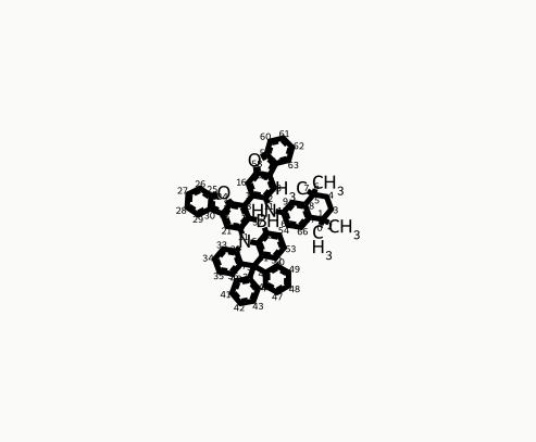 CC1(C)CCC(C)(C)c2cc(Nc3cc4c(cc3-c3c5c(cc6c3oc3ccccc36)N3c6ccccc6C(c6ccccc6)(c6ccccc6)c6cccc(c63)B5)oc3ccccc34)ccc21